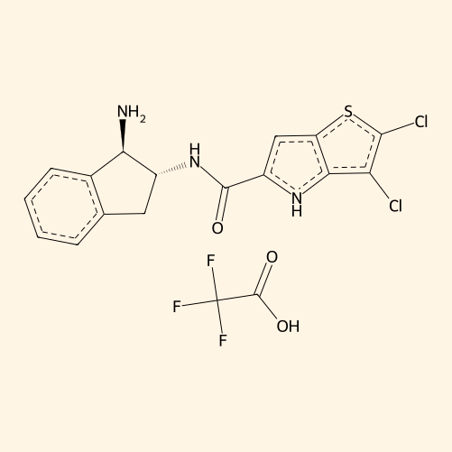 N[C@@H]1c2ccccc2C[C@H]1NC(=O)c1cc2sc(Cl)c(Cl)c2[nH]1.O=C(O)C(F)(F)F